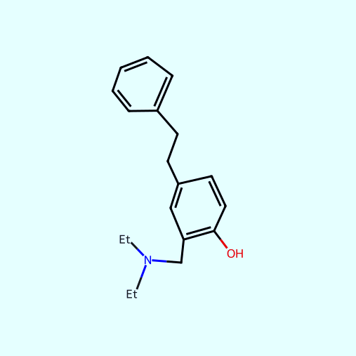 CCN(CC)Cc1cc(CCc2ccccc2)ccc1O